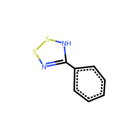 c1ccc(C2=NSSN2)cc1